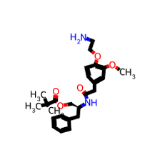 COc1cc(CC(=O)N[C@H](COC(=O)C(C)(C)C)Cc2ccccc2)ccc1OCCN